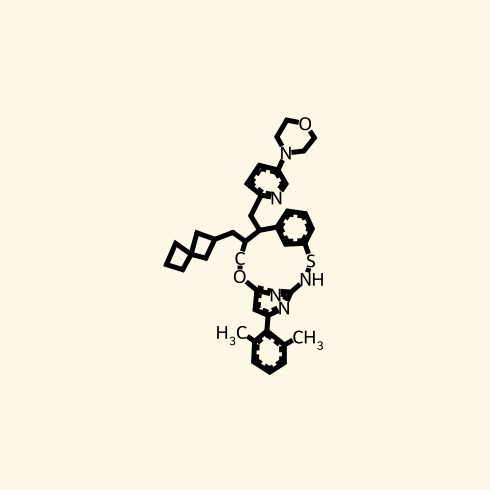 Cc1cccc(C)c1-c1cc2nc(n1)NSc1cccc(c1)C(Cc1ccc(N3CCOCC3)cn1)C(CC1CC3(CCC3)C1)CO2